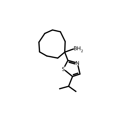 BC1(c2ncc(C(C)C)s2)CCCCCCCC1